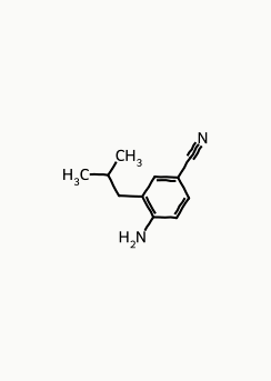 CC(C)Cc1cc(C#N)ccc1N